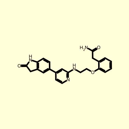 NC(=O)Cc1ccccc1OCCNc1cc(-c2ccc3c(c2)CC(=O)N3)ccn1